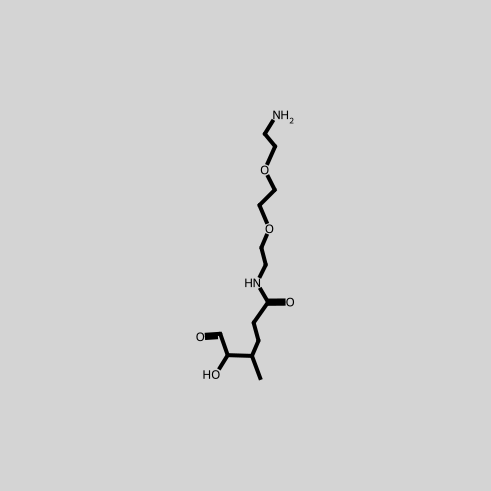 CC(CCC(=O)NCCOCCOCCN)C(O)C=O